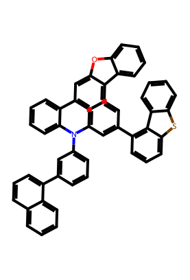 c1cc(-c2cccc3ccccc23)cc(N(c2cccc(-c3cccc4sc5ccccc5c34)c2)c2ccccc2-c2ccc3c(c2)oc2ccccc23)c1